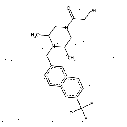 CC1CN(C(=O)CO)CC(C)N1Cc1ccc2cc(C(F)(F)F)ccc2c1